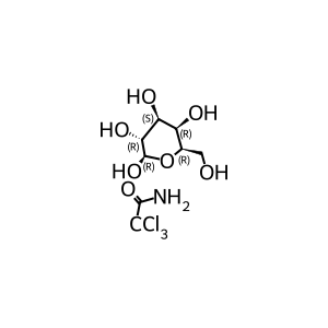 NC(=O)C(Cl)(Cl)Cl.OC[C@H]1O[C@@H](O)[C@H](O)[C@@H](O)[C@H]1O